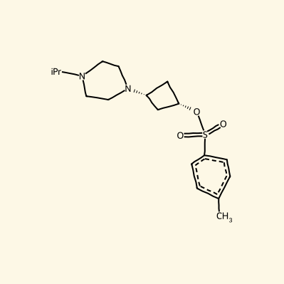 Cc1ccc(S(=O)(=O)O[C@H]2C[C@@H](N3CCN(C(C)C)CC3)C2)cc1